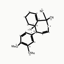 COc1ccc([C@@H]2C=CCC(C#N)(C#N)C3=CCCC[C@H]32)cc1OC